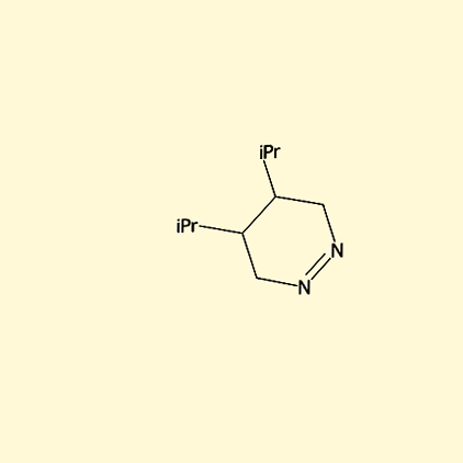 CC(C)C1CN=NCC1C(C)C